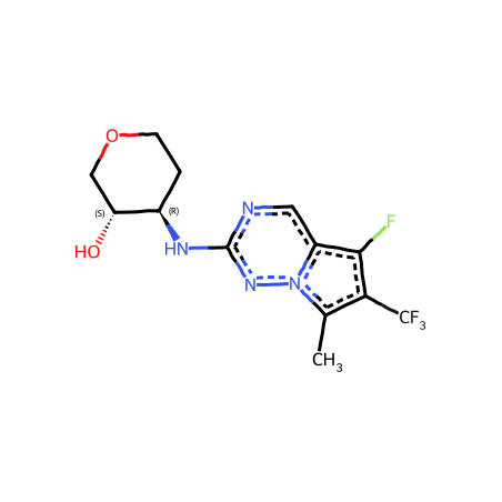 Cc1c(C(F)(F)F)c(F)c2cnc(N[C@@H]3CCOC[C@H]3O)nn12